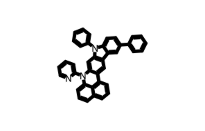 c1ccc(-c2ccc3c(c2)c2cc4c(cc2n3-c2ccccc2)N(c2ccccn2)c2cccc3cccc-4c23)cc1